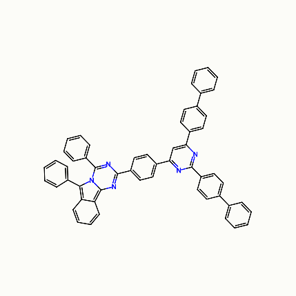 c1ccc(-c2ccc(-c3cc(-c4ccc(-c5nc(-c6ccccc6)n6c(-c7ccccc7)c7ccccc7c6n5)cc4)nc(-c4ccc(-c5ccccc5)cc4)n3)cc2)cc1